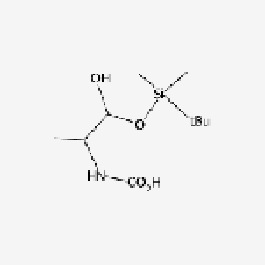 CC(NC(=O)O)C(O)O[Si](C)(C)C(C)(C)C